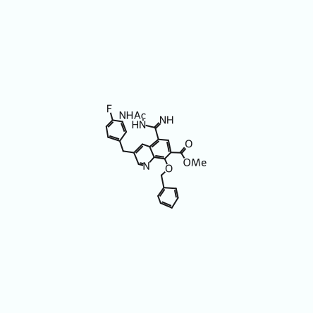 COC(=O)c1cc(C(=N)NNC(C)=O)c2cc(Cc3ccc(F)cc3)cnc2c1OCc1ccccc1